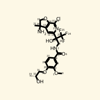 COc1cc(C(=O)NCC(O)(c2cc3c(c(Cl)n2)OCC3(C)N)C(F)(F)F)ccc1OC[C@@H](C)O